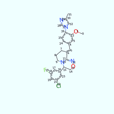 COc1cc(/C=C2\CCCN3C2=NOCC3c2cc(F)cc(Cl)c2)ccc1-n1cnc(C)c1